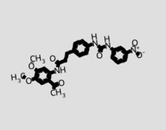 COc1cc(NC(=O)CCc2ccc(NC(=O)Nc3cccc([N+](=O)[O-])c3)cc2)c(C(C)=O)cc1OC